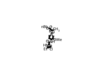 CCCCOC(=O)c1nc(N2CCC(NC(=O)c3nc(Cl)c(CC)[nH]3)C(OC)C2)oc1C